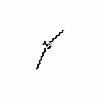 CCCCCCCCCCCn1cc[n+](CCCCCCCCC)c1C(C)C